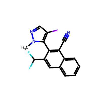 Cn1ncc(I)c1-c1c(C(F)F)cc2ccccc2c1C#N